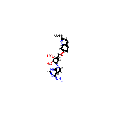 CNc1ccc2ccc(OCC3=CC(n4ccc5c(N)ncnc54)C(O)C3O)cc2n1